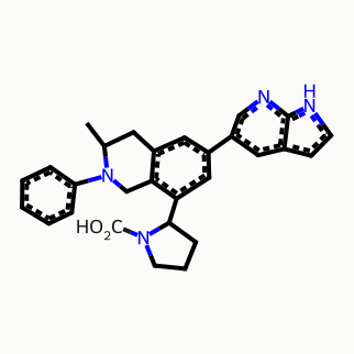 CC1Cc2cc(-c3cnc4[nH]ccc4c3)cc(C3CCCN3C(=O)O)c2CN1c1ccccc1